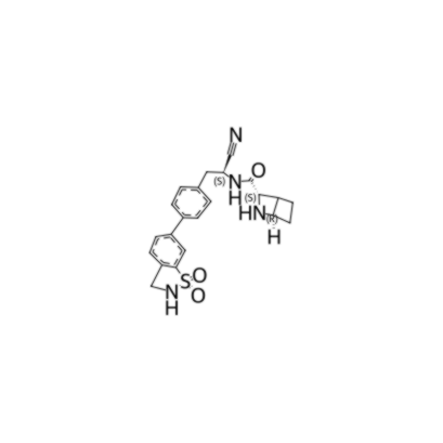 N#C[C@H](Cc1ccc(-c2ccc3c(c2)S(=O)(=O)NC3)cc1)NC(=O)[C@H]1N[C@@H]2CCC12